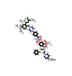 C=C(CC(C)C(F)F)C1=C(CN2CCN(c3ccc(C(=O)NS(=O)(=O)c4ccc(N[C@H](CCN5CCC(OC)CC5)CSc5ccccc5)c(S(=O)(=O)C(F)(F)F)c4)cc3)CC2)CCC(C)(C)C1